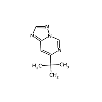 CC(C)(C)c1cc2ncnn2cn1